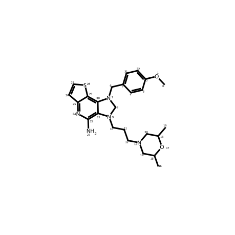 COc1ccc(CN2CN(CCCN3CC(C)OC(C)C3)c3c(N)nc4ccsc4c32)cc1